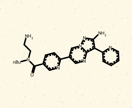 CCCCN(CCN)C(=O)c1ccc(-c2cnc3c(-c4ccccn4)c(N)nn3c2)nc1